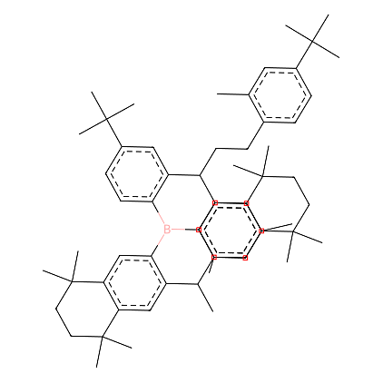 Cc1cc(C)c2c(c1)C(CCc1ccc(C(C)(C)C)cc1C)c1cc(C(C)(C)C)ccc1B2c1cc2c(cc1C(C)c1ccc3c(c1)C(C)(C)CCC3(C)C)C(C)(C)CCC2(C)C